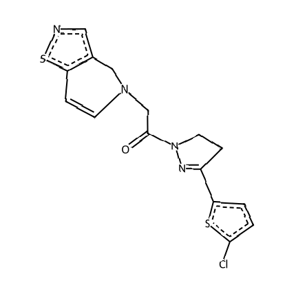 O=C(CN1C=Cc2sncc2C1)N1CCC(c2ccc(Cl)s2)=N1